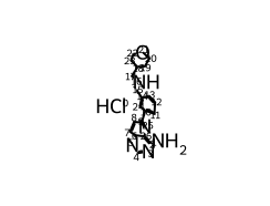 Cl.Nc1ncnc2ccc(-c3cccc(CNCC4CCOCC4)c3)nc12